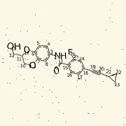 O=C(Nc1ccc2c(c1)OCC(CO)O2)c1ccc(C#CC2CC2)cc1F